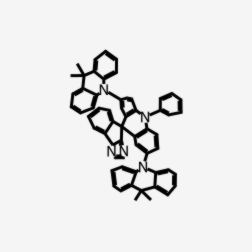 CC1(C)c2ccccc2N(c2ccc3c(c2)C2(c4ccccc4-c4nccnc42)c2cc(N4c5ccccc5C(C)(C)c5ccccc54)ccc2N3c2ccccc2)c2ccccc21